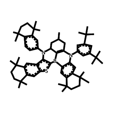 CC1CC2=C3B(c4cc5c(cc4N2c2cc(C(C)(C)C)cc(C(C)(C)C)c2)C(C)(C)CCC5(C)C)c2sc4cc5c(cc4c2N(c2ccc4c(c2)C(C)(C)CCC4(C)C)C3C1)C(C)(C)CCC5(C)C